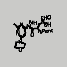 CCCCC[C@H](CN(O)C=O)C(=O)N(N)c1cc(N2CCOCC2)nc(C)n1